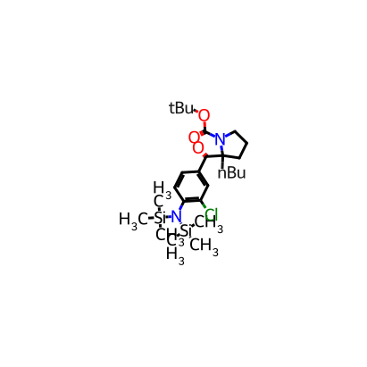 CCCCC1(C(=O)c2ccc(N([Si](C)(C)C)[Si](C)(C)C)c(Cl)c2)CCCN1C(=O)OC(C)(C)C